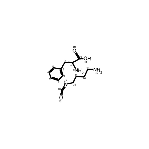 NC(Cc1ccccc1)C(=O)O.NCCCCN=C=O